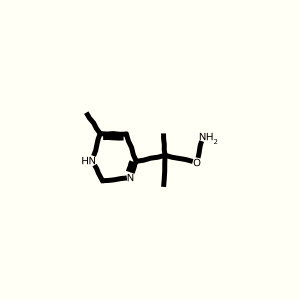 CC1=CC(C(C)(C)ON)=NCN1